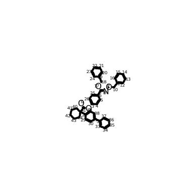 O=C(Oc1ccc(C(=NOCc2ccccc2)OCc2ccccc2)cc1)C1(c2ccc(-c3ccccc3)cc2)CCCCC1